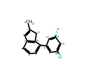 CC1=Cc2cccc(-c3cc(F)cc(F)c3)c2C1